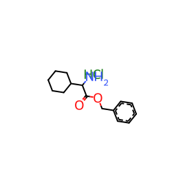 Cl.NC(C(=O)OCc1ccccc1)C1CCCCC1